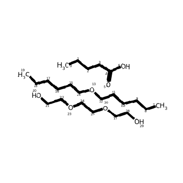 CCCCC(=O)O.CCCCCCOCCCCCC.OCCOCCOCCO